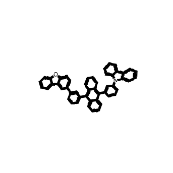 c1cc(-c2ccc3oc4ccccc4c3c2)cc(-c2c3ccccc3c(-c3cccc(-n4c5ccccc5c5ccccc54)c3)c3ccccc23)c1